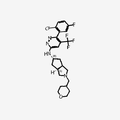 Fc1ccc(Cl)c(-c2nnc(N[C@@H]3CC4CN(CC5CCOCC5)C[C@H]4C3)cc2C(F)(F)F)c1